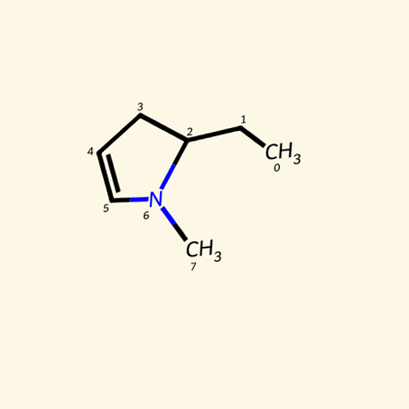 CCC1CC=CN1C